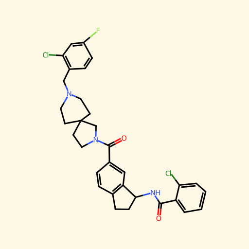 O=C(NC1CCc2ccc(C(=O)N3CCC4(CCN(Cc5ccc(F)cc5Cl)CC4)C3)cc21)c1ccccc1Cl